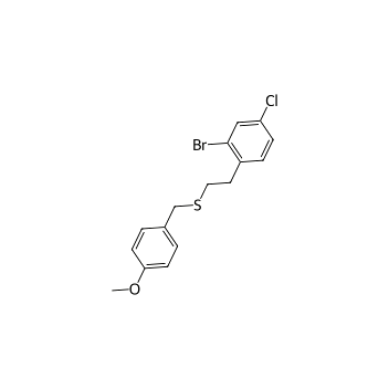 COc1ccc(CSCCc2ccc(Cl)cc2Br)cc1